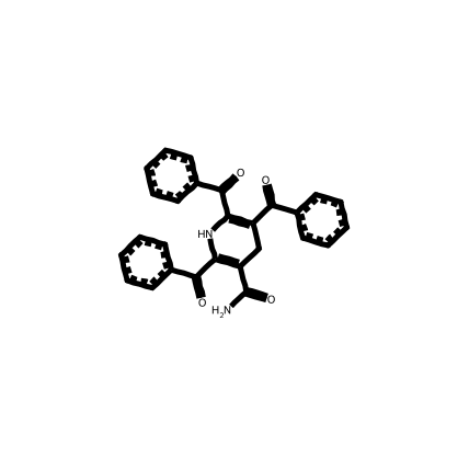 NC(=O)C1=C(C(=O)c2ccccc2)NC(C(=O)c2ccccc2)=C(C(=O)c2ccccc2)C1